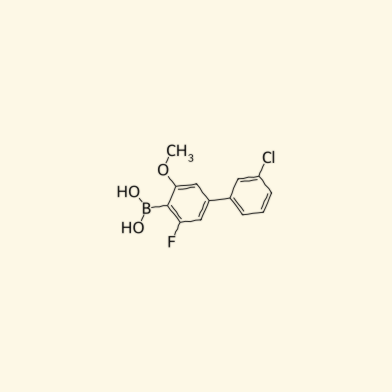 COc1cc(-c2cccc(Cl)c2)cc(F)c1B(O)O